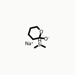 C[SiH](C)C1([O-])CCCCO1.[Na+]